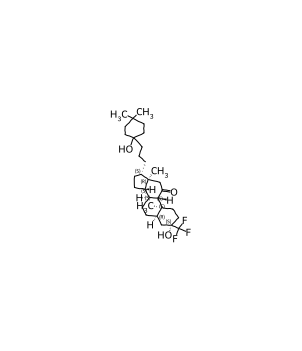 CC1(C)CCC(O)(CCC[C@H]2CC[C@H]3[C@@H]4CC[C@@H]5C[C@](O)(C(F)(F)F)CC[C@]5(C)[C@H]4C(=O)C[C@]23C)CC1